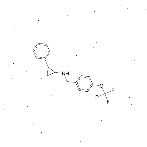 FC(F)(F)Oc1ccc(CNC2CC2c2ccccc2)cc1